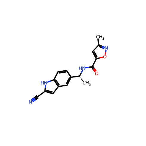 Cc1cc(C(=O)N[C@H](C)c2ccc3[nH]c(C#N)cc3c2)on1